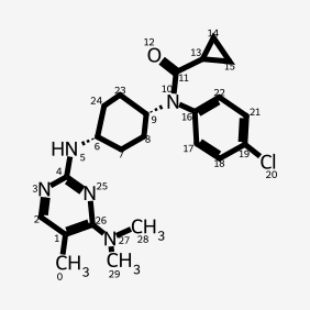 Cc1cnc(N[C@H]2CC[C@@H](N(C(=O)C3CC3)c3ccc(Cl)cc3)CC2)nc1N(C)C